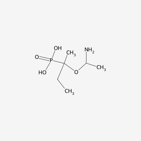 CCC(C)(OC(C)N)P(=O)(O)O